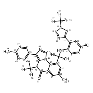 [2H]C(C)(Nc1ccc(Cl)nc1-c1nnn(C([2H])([2H])[2H])n1)c1cc(C)cc2c(=O)n(C([2H])([2H])[2H])c3c(-c4cnc(N)nc4)ncn3c12